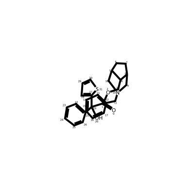 O=C(OCC1C2CCC1CN(Cc1ccccc1)C2)C(O)(c1ccccc1)c1cccs1